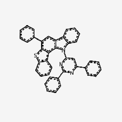 c1ccc(-c2cc(-n3c4ccccc4c4cc(-c5ccccc5)c5sc6ccccc6c5c43)nc(-c3ccccc3)n2)cc1